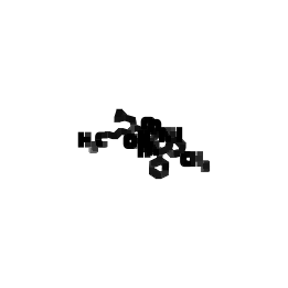 CCCC[C@H](O)[C@@H](CC1CC1)C(=O)N[C@H]1N=C(c2ccccc2)c2cc(C)ccc2NC1=O